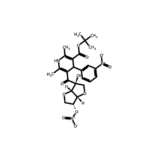 CC1=C(C(=O)OC(C)(C)C)C(c2cccc([N+](=O)[O-])c2)C(C(=O)[C@]2(O)CO[C@@H]3[C@H](O[N+](=O)[O-])CO[C@@H]32)=C(C)N1